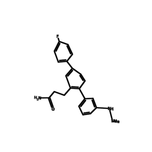 CSNc1cccc(-c2ccc(-c3ccc(F)cc3)cc2CCC(N)=O)c1